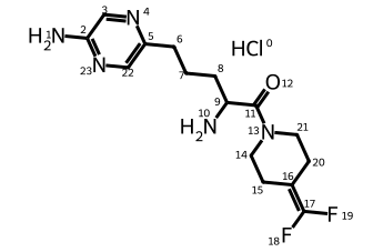 Cl.Nc1cnc(CCCC(N)C(=O)N2CCC(=C(F)F)CC2)cn1